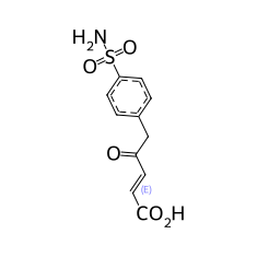 NS(=O)(=O)c1ccc(CC(=O)/C=C/C(=O)O)cc1